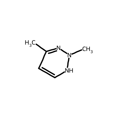 CC1=NN(C)NC=C1